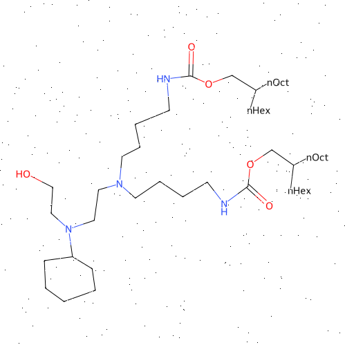 CCCCCCCCC(CCCCCC)COC(=O)NCCCCN(CCCCNC(=O)OCC(CCCCCC)CCCCCCCC)CCN(CCO)C1CCCCC1